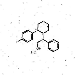 Cl.OC[C@H](c1ccccc1)N1CCCC[C@@H]1c1ccc(F)cc1